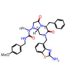 CCCN(C(=O)NCc1ccc(OC)cc1)N1CC(=O)N2[C@@H](Cc3ccccc3)C(=O)N(Cc3cccc4sc(N)nc34)C[C@@H]21